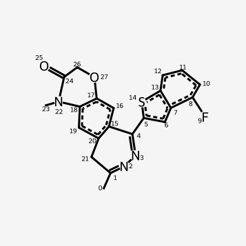 CC1=NN=C(c2cc3c(F)cccc3s2)c2cc3c(cc2C1)N(C)C(=O)CO3